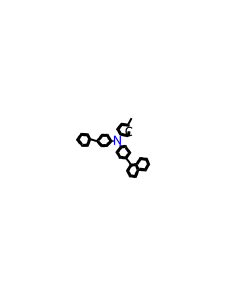 Cc1ccc(N(c2ccc(-c3ccccc3)cc2)c2ccc(-c3cccc4ccccc34)cc2)cc1